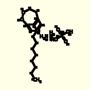 CCCCCCCCCc1c2cccc1OOCC2.N.N.O=S(=O)(O)O